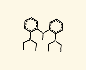 CCP(CC)c1ccccc1N(C)c1ccccc1P(CC)CC